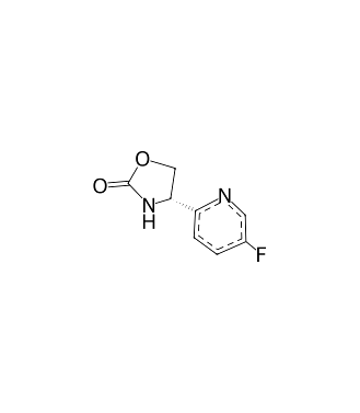 O=C1N[C@@H](c2ccc(F)cn2)CO1